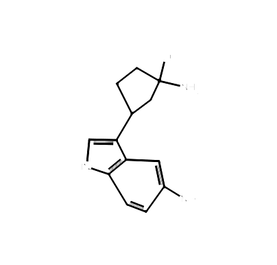 CCC1(N)CCC(c2c[nH]c3ccc([N+](=O)[O-])cc23)C1